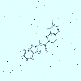 CCC(Oc1cccc(C)c1)C(=O)Nc1cc2cnccc2[nH]1